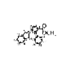 COC(=O)c1cnn(C2Cc3ccccc3C2)c1-c1ccccc1